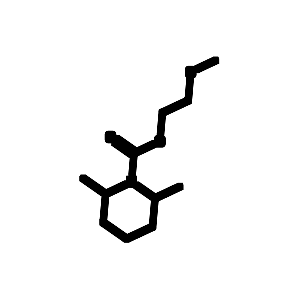 COCCOC(=O)N1C(C)CCCC1C